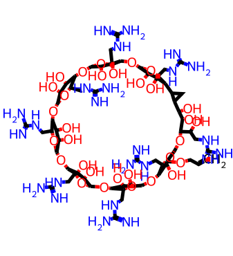 C=CCOC1C2OC(CNC(=N)N)C(OC3OC(CNC(=N)N)C(OC4OC(CNC(=N)N)C(OC5OC(CNC(=N)N)C(OC6OC(CNC(=N)N)C(OC7OC(CNC(=N)N)C(OC8OC(CNC(=N)N)C(C(O)C8O)C8CC8C(O)C(O)C(C(O)CNC(=N)N)O2)C(O)C7O)C(O)C6O)C(O)C5O)C(O)C4O)C(O)C3O)C1O